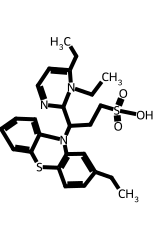 CCC1=CC=NC(C(CCS(=O)(=O)O)N2c3ccccc3Sc3ccc(CC)cc32)N1CC